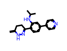 C=C1CCC(c2ccc(-c3ccncc3)cc2NC(C)C)=NN1